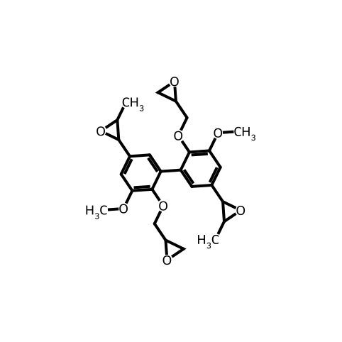 COc1cc(C2OC2C)cc(-c2cc(C3OC3C)cc(OC)c2OCC2CO2)c1OCC1CO1